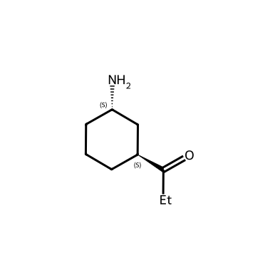 CCC(=O)[C@H]1CCC[C@H](N)C1